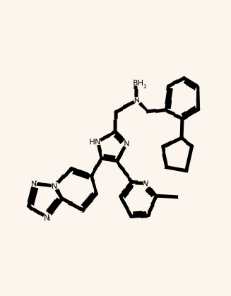 BN(Cc1nc(-c2cccc(C)n2)c(-c2ccc3ncnn3c2)[nH]1)Cc1ccccc1C1CCCC1